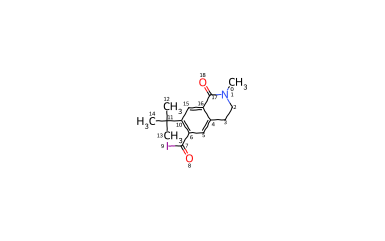 CN1CCc2cc(C(=O)I)c(C(C)(C)C)cc2C1=O